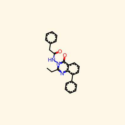 CCc1nc2c(-c3ccccc3)cccc2c(=O)n1NC(=O)Cc1ccccc1